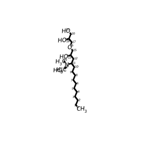 CCCCCCCCCCCC(CC(O)COCC(O)CO)N(C)C.Cl